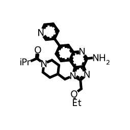 CCOCc1nc2c(N)nc3cc(-c4cccnc4)ccc3c2n1CC1CCN(C(=O)C(C)C)CC1